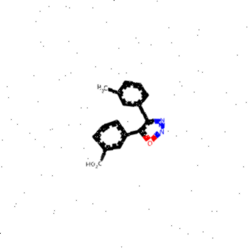 Cc1cccc(-c2nnoc2-c2cccc(C(=O)O)c2)c1